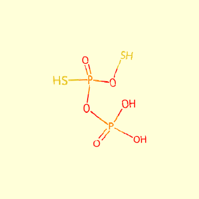 O=P(O)(O)OP(=O)(S)OS